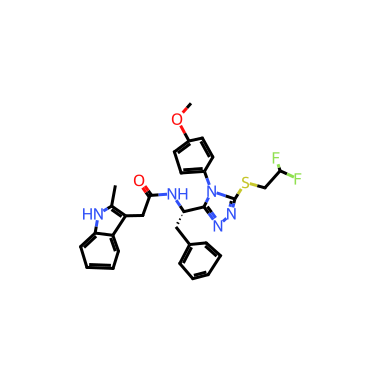 COc1ccc(-n2c(SCC(F)F)nnc2[C@H](Cc2ccccc2)NC(=O)Cc2c(C)[nH]c3ccccc23)cc1